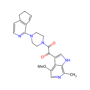 COc1cnc(C)c2[nH]cc(C(=O)C(=O)N3CCN(c4nccc5c4C=CCC5)CC3)c12